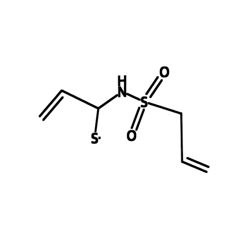 C=CCS(=O)(=O)NC([S])C=C